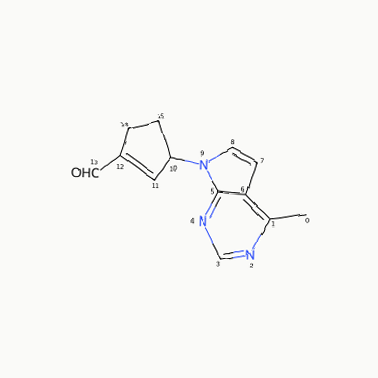 Cc1ncnc2c1ccn2C1C=C(C=O)CC1